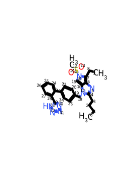 CCCCc1nc2c(CC)n(S(C)(=O)=O)cc2n1Cc1ccc(-c2ccccc2-c2nnn[nH]2)cc1